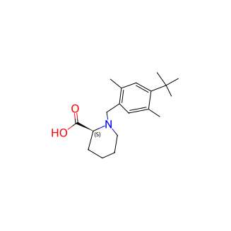 Cc1cc(C(C)(C)C)c(C)cc1CN1CCCC[C@H]1C(=O)O